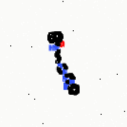 O=C(NCCCCN1CCN(c2ccn3c(n2)nc2ccccc23)CC1)C12CC3CC(CC(C3)C1)C2